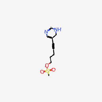 CS(=O)(=O)OCCCC#CC1=CN=[C]NC1